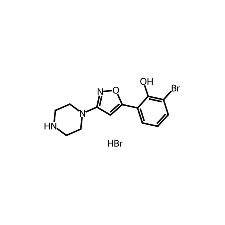 Br.Oc1c(Br)cccc1-c1cc(N2CCNCC2)no1